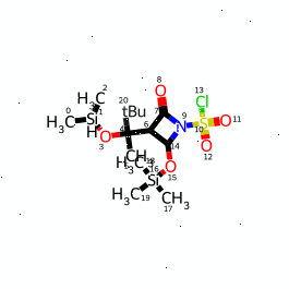 C[SiH](C)OC(C)(C1C(=O)N(S(=O)(=O)Cl)C1O[Si](C)(C)C)C(C)(C)C